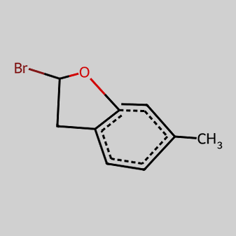 Cc1ccc2c(c1)OC(Br)C2